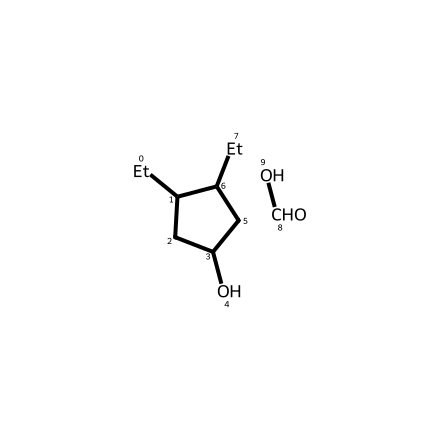 CCC1CC(O)CC1CC.O=CO